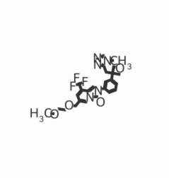 COCCOCc1cc(C(F)(F)F)c2cn(-c3cccc(C4(Cc5nncn5C)COC4)c3)c(=O)n2c1